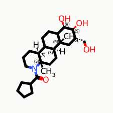 C[C@]12C[C@@H](CO)[C@H](O)[C@H](O)C1CCC1[C@@H]2CC[C@@]2(C)[C@H]1CCCN2C(=O)C1CCCC1